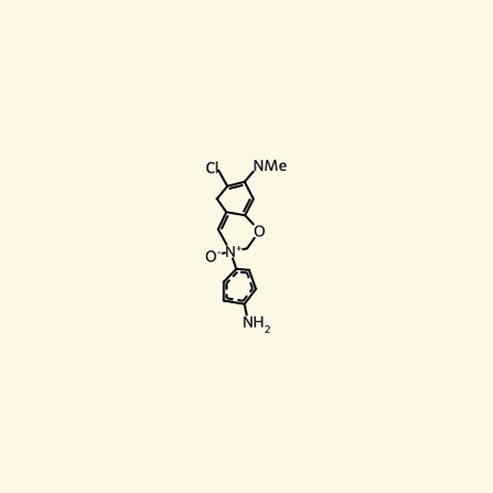 CNC1=C(Cl)CC2=C[N+]([O-])(c3ccc(N)cc3)COC2=C1